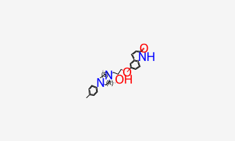 Cc1ccc(N2C[C@@H](C)N(CC(O)COc3ccc4[nH]c(=O)ccc4c3)[C@@H](C)C2)cc1